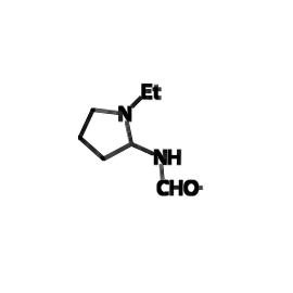 CCN1CCCC1N[C]=O